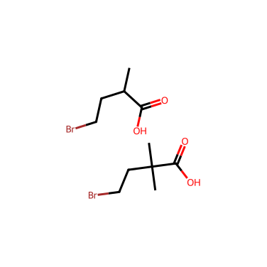 CC(C)(CCBr)C(=O)O.CC(CCBr)C(=O)O